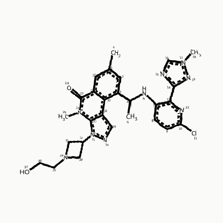 Cc1cc(C(C)Nc2ccc(Cl)nc2-c2ncn(C)n2)c2c(c1)c(=O)n(C)c1c2cnn1C1CN(CCO)C1